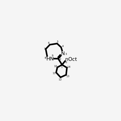 CCCCCCCCC1(/C2=N/CCCCCN2)CCCCC1